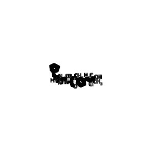 CN1C(=O)[C@H](NC(=O)c2n[nH]c(Cc3ccccc3)n2)COc2ccc(/C=C(\Cl)C(C)(C)O)cc21